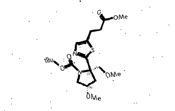 COC[C@]1(c2ncc(CCC(=O)OC)s2)C[C@H](OC)CN1C(=O)OC(C)(C)C